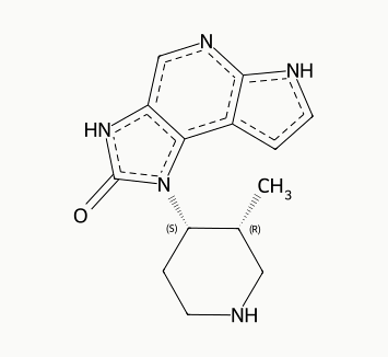 C[C@@H]1CNCC[C@@H]1n1c(=O)[nH]c2cnc3[nH]ccc3c21